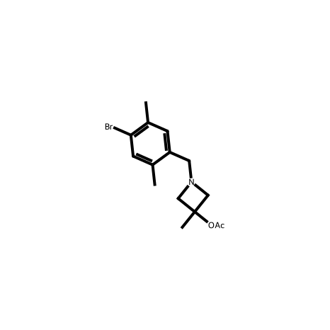 CC(=O)OC1(C)CN(Cc2cc(C)c(Br)cc2C)C1